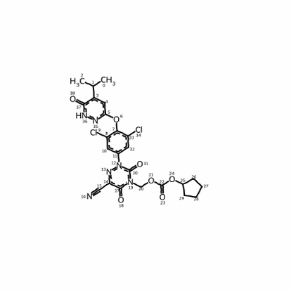 CC(C)c1cc(Oc2c(Cl)cc(-n3nc(C#N)c(=O)n(COC(=O)OC4CCCC4)c3=O)cc2Cl)n[nH]c1=O